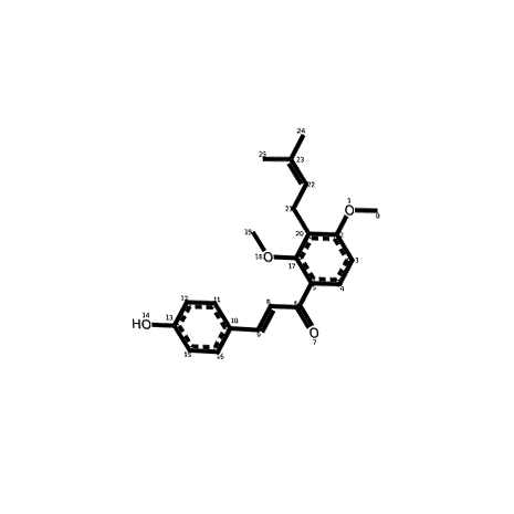 COc1ccc(C(=O)/C=C/c2ccc(O)cc2)c(OC)c1CC=C(C)C